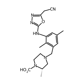 Cc1cc(CN2CCN(C(=O)O)[C@@H](C)C2)c(C)c(Nc2nnc(CC#N)o2)c1